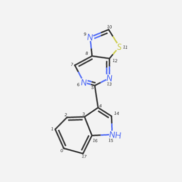 c1ccc2c(-c3ncc4ncsc4n3)c[nH]c2c1